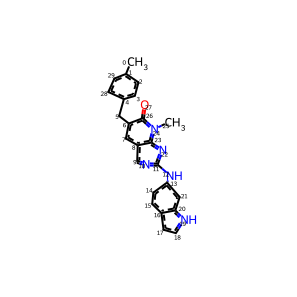 Cc1ccc(Cc2cc3cnc(Nc4ccc5cc[nH]c5c4)nc3n(C)c2=O)cc1